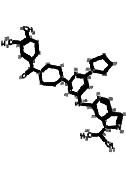 Cc1ccc(C(=O)N2CCN(c3nc(Nc4cc5c(cn4)cnn5C(C)C)cc(N4CCCC4)n3)CC2)cc1C